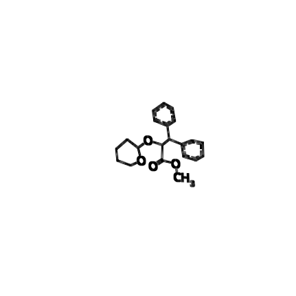 COC(=O)C(OC1CCCCO1)C(c1ccccc1)c1ccccc1